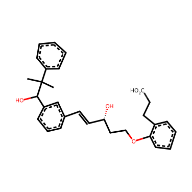 CC(C)(c1ccccc1)C(O)c1cccc(/C=C/[C@H](O)CCOc2ccccc2CCC(=O)O)c1